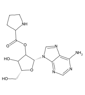 Nc1ncnc2c1ncn2[C@@H]1O[C@H](CO)C(O)C1OC(=O)C1CCCN1